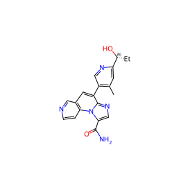 CC[C@@H](O)c1cc(C)c(-c2cc3cnccc3n3c(C(N)=O)cnc23)cn1